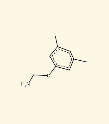 Cc1cc(C)cc(OCN)c1